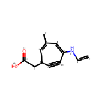 C=CNC1=CC(C)=CC(CC(=O)O)C#C1